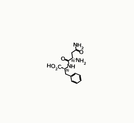 NC(=O)C[C@H](N)C(=O)N[C@@H](Cc1ccccc1)C(=O)O